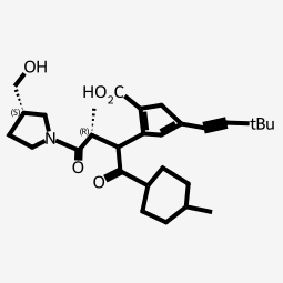 CC1CCC(C(=O)C(C2=C(C(=O)O)CC(C#CC(C)(C)C)=C2)[C@@H](C)C(=O)N2CC[C@H](CO)C2)CC1